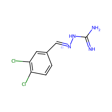 N=C(N)N/N=C/c1ccc(Cl)c(Cl)c1